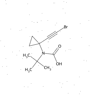 CC(C)(C)N(C(=O)O)C1(C#CBr)CC1